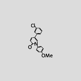 COc1ccc(-n2cc(-c3cccc(Cl)c3)ccc2=O)cc1